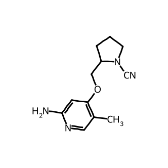 Cc1cnc(N)cc1OCC1CCCN1C#N